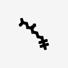 CC(C)COC(=O)OCCO[Si](C)(C)C(C)(C)C